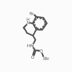 CC(C)(C)OC(=O)NCC1CCNc2c(Br)cccc21